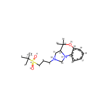 CCC(C)(C)S(=O)(=O)CCCN1CC2N(C1)c1ccccc1OC2(C)C